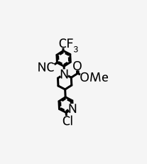 COC(=O)C1CC(c2ccc(Cl)nc2)CCN1c1ccc(C(F)(F)F)cc1C#N